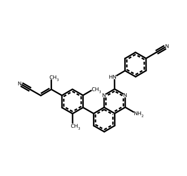 C/C(=C\C#N)c1cc(C)c(-c2cccc3c(N)nc(Nc4ccc(C#N)cc4)nc23)c(C)c1